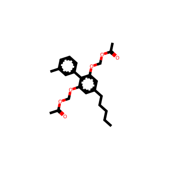 CCCCCc1cc(OCOC(C)=O)c(-c2cccc(C)c2)c(OCOC(C)=O)c1